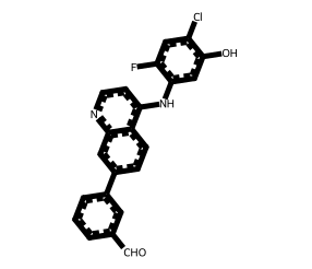 O=Cc1cccc(-c2ccc3c(Nc4cc(O)c(Cl)cc4F)ccnc3c2)c1